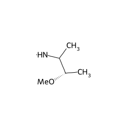 CO[C@@H](C)C(C)[NH]